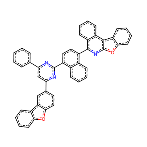 c1ccc(-c2cc(-c3ccc4oc5ccccc5c4c3)nc(-c3ccc(-c4nc5oc6ccccc6c5c5ccccc45)c4ccccc34)n2)cc1